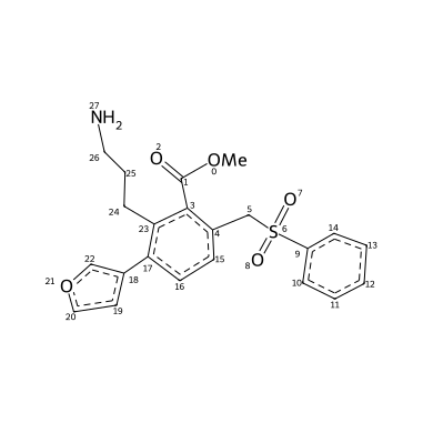 COC(=O)c1c(CS(=O)(=O)c2ccccc2)ccc(-c2ccoc2)c1CCCN